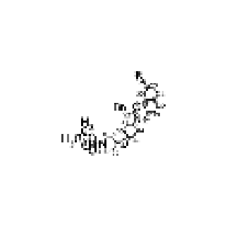 CC(C)(C)OC(=O)N1CCC(Oc2ccc(N(Cc3ccc4ccc(C#N)cc4c3)C(=O)CBr)cc2)CC1